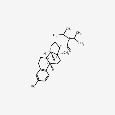 CC(C)N(C(=O)[C@H]1CC[C@H]2[C@@H]3CCc4cc(O)ccc4[C@H]3CC[C@]12C)C(C)C